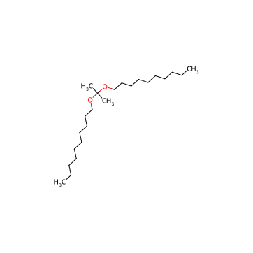 CCCCCCCCCCOC(C)(C)OCCCCCCCCCC